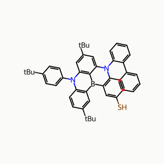 CC(C)(C)c1ccc(N2c3ccc(C(C)(C)C)cc3B3c4cc(S)ccc4N(c4ccccc4-c4ccccc4)c4cc(C(C)(C)C)cc2c43)cc1